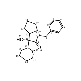 O=C(OCc1ccccc1)C(O)(C1CCCC1)C1CCCCO1